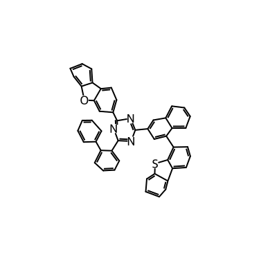 c1ccc(-c2ccccc2-c2nc(-c3cc(-c4cccc5c4sc4ccccc45)c4ccccc4c3)nc(-c3ccc4c(c3)oc3ccccc34)n2)cc1